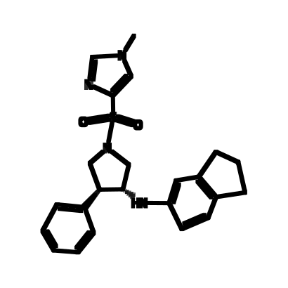 Cn1cnc(S(=O)(=O)N2C[C@H](Nc3ccc4c(c3)CCC4)[C@@H](c3ccccc3)C2)c1